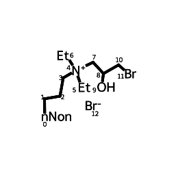 CCCCCCCCCCCC[N+](CC)(CC)CC(O)CBr.[Br-]